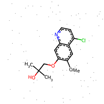 COc1cc2c(Cl)ccnc2cc1OCC(C)(C)O